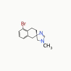 CN1C=N[C@]2(CCc3c(Br)cccc3C2)C1